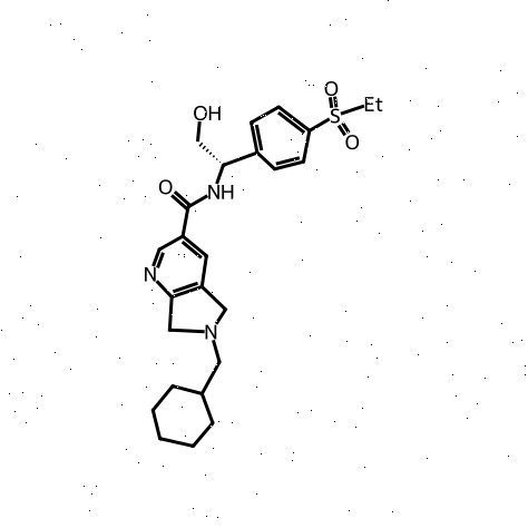 CCS(=O)(=O)c1ccc([C@@H](CO)NC(=O)c2cnc3c(c2)CN(CC2CCCCC2)C3)cc1